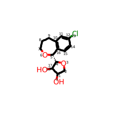 OC1COC([C@@H]2OCCCc3cc(Cl)ccc32)C1O